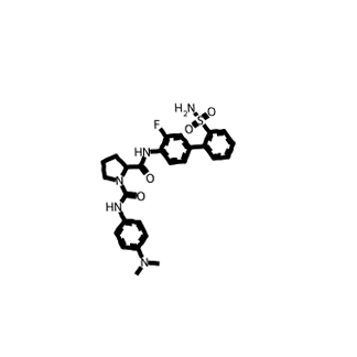 CN(C)c1ccc(NC(=O)N2CCCC2C(=O)Nc2ccc(-c3ccccc3S(N)(=O)=O)cc2F)cc1